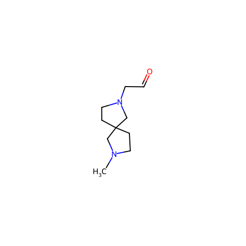 CN1CCC2(CCN(CC=O)C2)C1